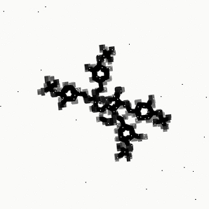 O=C1O[C@H]([C@H](CO)OP(=O)(OCc2ccc(OC(F)(F)F)c(F)c2)OCc2ccc(OC(F)(F)F)c(F)c2)C(OCc2ccc(OC(F)(F)F)c(F)c2)=C1OCc1ccc(OC(F)(F)F)c(F)c1